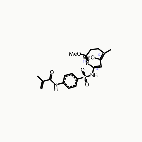 C=C(C)C(=O)Nc1ccc(S(=O)(=O)NC2=C/C(OC)=C(\C)CC/C(OC)=N\2)cc1